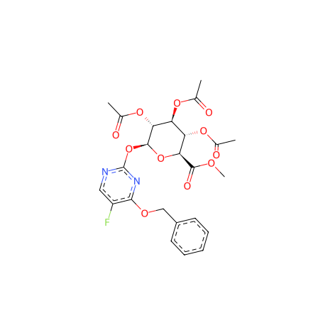 COC(=O)[C@H]1O[C@@H](Oc2ncc(F)c(OCc3ccccc3)n2)[C@H](OC(C)=O)[C@@H](OC(C)=O)[C@@H]1OC(C)=O